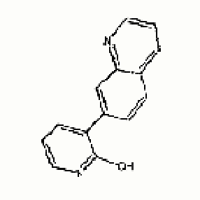 Oc1ncccc1-c1ccc2cccnc2c1